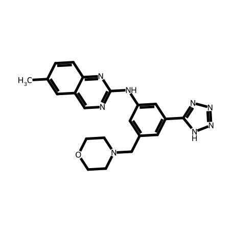 Cc1ccc2nc(Nc3cc(CN4CCOCC4)cc(-c4nnn[nH]4)c3)ncc2c1